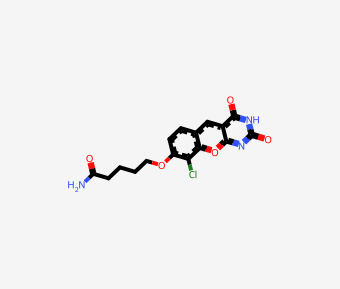 NC(=O)CCCCOc1ccc2cc3c(=O)[nH]c(=O)nc-3oc2c1Cl